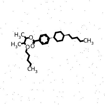 CCCCCOC(C)C(C)OC(=O)c1ccc([C@H]2CC[C@H](CCCCC)CC2)cc1